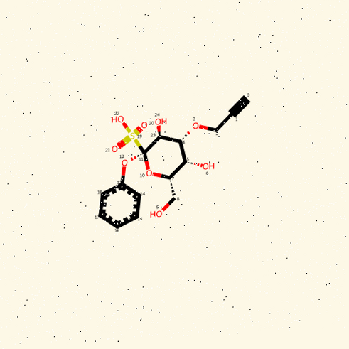 C#CCO[C@@H]1[C@H](O)[C@H](CO)O[C@@](Oc2ccccc2)(S(=O)(=O)O)[C@H]1O